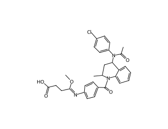 COC(CCC(=O)O)=Nc1ccc(C(=O)N2c3ccccc3C(N(C(C)=O)c3ccc(Cl)cc3)CC2C)cc1